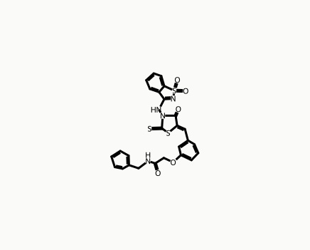 O=C(COc1cccc(/C=C2\SC(=S)N(NC3=NS(=O)(=O)c4ccccc43)C2=O)c1)NCc1ccccc1